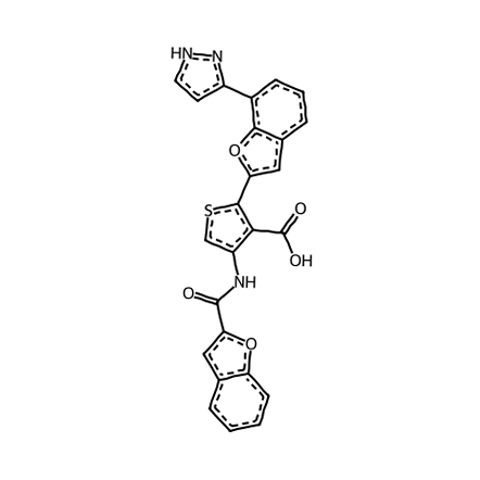 O=C(Nc1csc(-c2cc3cccc(-c4cc[nH]n4)c3o2)c1C(=O)O)c1cc2ccccc2o1